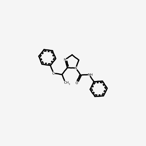 CC(Oc1ccccc1)C1=NCCN1C(=O)Nc1ccccc1